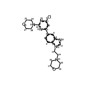 Clc1cc(-c2ccc3c(c2)ncn3CCN2CCOCC2)nc(N2CCOCC2)n1